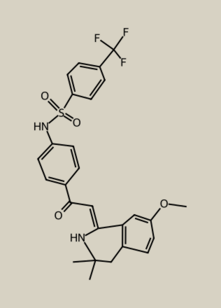 COc1ccc2c(c1)C(=CC(=O)c1ccc(NS(=O)(=O)c3ccc(C(F)(F)F)cc3)cc1)NC(C)(C)C2